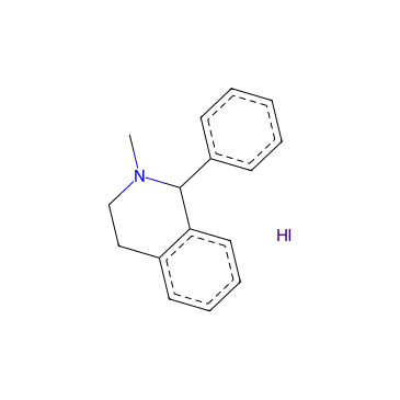 CN1CCc2ccccc2C1c1ccccc1.I